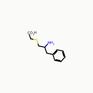 NC(CSCC(=O)O)Cc1ccccc1